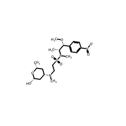 CO[C@H](c1ccc([N+](=O)[O-])cc1)[C@@H](C)N(C)S(=O)(=O)CCN(C)[C@H]1C[C@@H](C)O[C@@H](O)C1